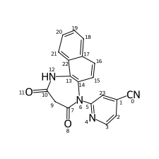 N#Cc1ccnc(N2C(=O)CC(=O)Nc3c2ccc2ccccc32)c1